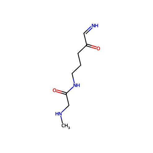 CNCC(=O)NCCCC(=O)C=N